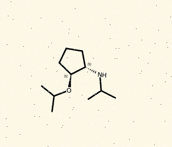 CC(C)N[C@H]1CCC[C@@H]1OC(C)C